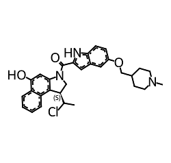 CC(Cl)[C@@H]1CN(C(=O)c2cc3cc(OCC4CCN(C)CC4)ccc3[nH]2)c2cc(O)c3ccccc3c21